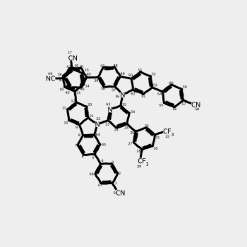 N#Cc1ccc(-c2ccc3c4ccc(-c5ccc(C#N)cc5)cc4n(-c4cc(-c5cc(C(F)(F)F)cc(C(F)(F)F)c5)cc(-n5c6cc(-c7ccc(C#N)cc7)ccc6c6ccc(-c7ccc(C#N)cc7)cc65)n4)c3c2)cc1